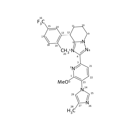 COc1nc(-c2nc3n(n2)CCC[C@H]3c2cc(C(F)(F)F)ccc2C)ccc1-n1cnc(C)c1